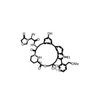 CCn1c(-c2cnccc2COC)c2c3cc(ccc31)-c1cc(O)cc(c1)C[C@H](NC(=O)[C@H](C(C)C)N1COCC1=O)C(=O)N1CCC[C@H](N1)C(=O)OCC(C)(C)C2